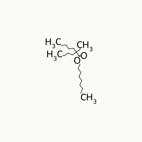 CCCCCCCCCOC(=O)C(CC)(CCCC)CCCCC